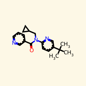 CC(C)(C)c1ccc(N(CC2CC2)C(=O)c2cccnc2)nc1